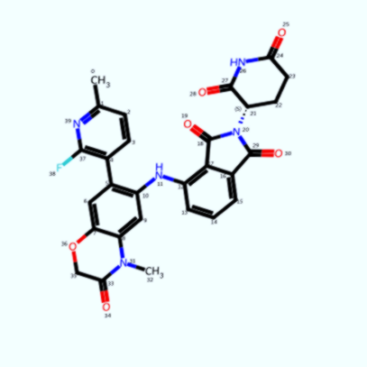 Cc1ccc(-c2cc3c(cc2Nc2cccc4c2C(=O)N([C@H]2CCC(=O)NC2=O)C4=O)N(C)C(=O)CO3)c(F)n1